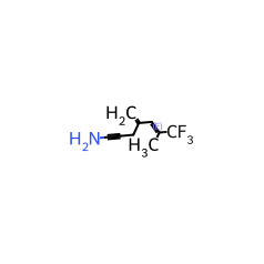 C=C(/C=C(\C)C(F)(F)F)CC#CN